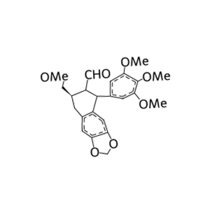 COC[C@@H]1Cc2cc3c(cc2C(c2cc(OC)c(OC)c(OC)c2)C1C=O)OCO3